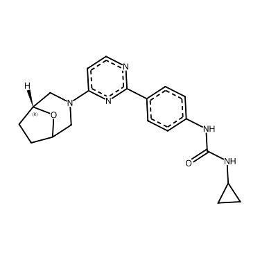 O=C(Nc1ccc(-c2nccc(N3CC4CC[C@H](C3)O4)n2)cc1)NC1CC1